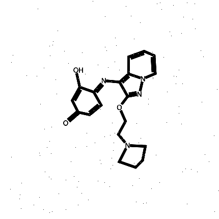 O=C1C=C/C(=N\c2c(OCCN3CCCC3)nn3ccccc23)C(O)=C1